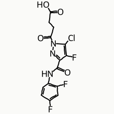 O=C(O)CCC(=O)n1nc(C(=O)Nc2ccc(F)cc2F)c(F)c1Cl